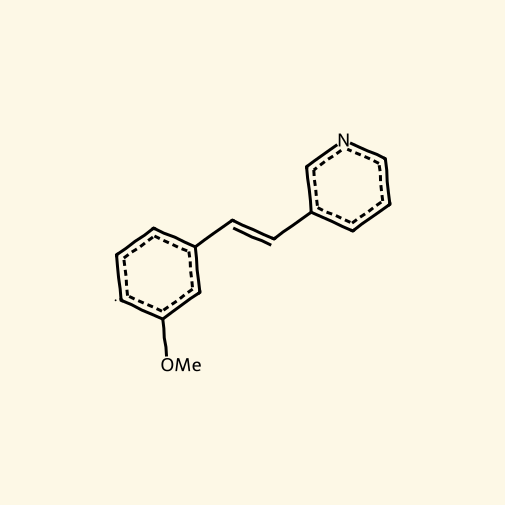 COc1[c]ccc(C=Cc2cccnc2)c1